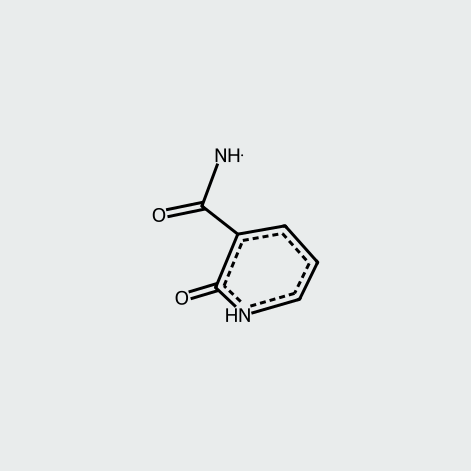 [NH]C(=O)c1ccc[nH]c1=O